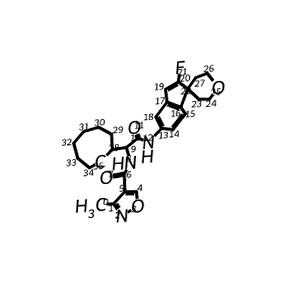 Cc1nocc1C(=O)NC(C(=O)Nc1ccc2c(c1)C=C(F)C21CCOCC1)C1CCCCCCC1